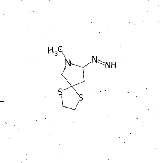 CN1CC2(CC1N=N)SCCS2